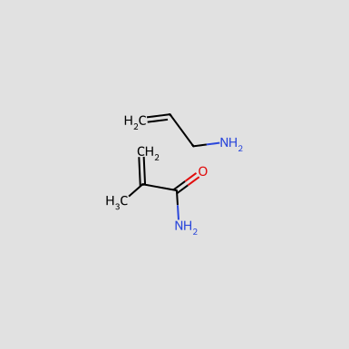 C=C(C)C(N)=O.C=CCN